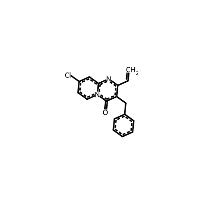 C=Cc1nc2cc(Cl)ccn2c(=O)c1Cc1ccccc1